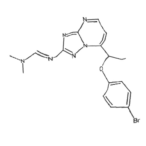 CC(Oc1ccc(Br)cc1)c1ccnc2nc(/N=C/N(C)C)nn12